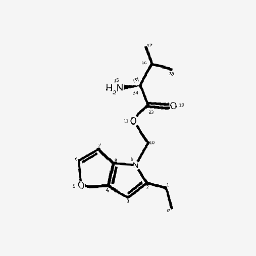 CCc1cc2occc2n1COC(=O)[C@@H](N)C(C)C